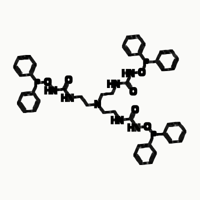 O=C(NCCN(CCNC(=O)NOP(c1ccccc1)c1ccccc1)CCNC(=O)NOP(c1ccccc1)c1ccccc1)NOP(c1ccccc1)c1ccccc1